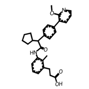 COc1ncccc1-c1ccc(C(C(=O)Nc2cccc(CCC(=O)O)c2C)C2CCCC2)cc1